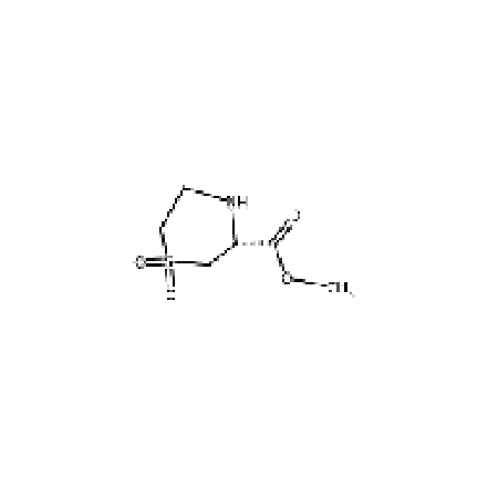 COC(=O)[C@@H]1CS(=O)(=O)CCN1